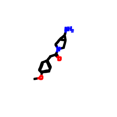 COc1ccc(CC(=O)N2CC3C(N)C3C2)cc1